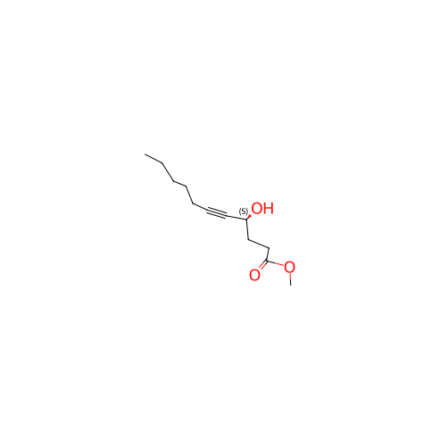 CCCCCC#C[C@@H](O)CCC(=O)OC